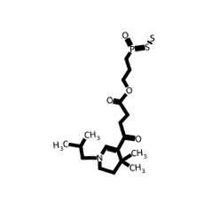 CC(C)CN1C=C(C(=O)CCC(=O)OCCCP(=O)=S=S)C(C)(C)CC1